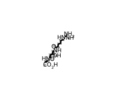 N=C(N)NCCCCCC(=O)NC[C@@H](O)CC(=O)NCCC(=O)O